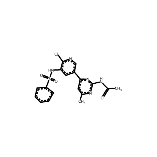 CC(=O)Nc1nc(C)cc(-c2cnc(Cl)c(NS(=O)(=O)c3ccccc3)c2)n1